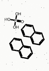 O=P(O)(O)O.c1ccc2ccccc2c1.c1ccc2ccccc2c1